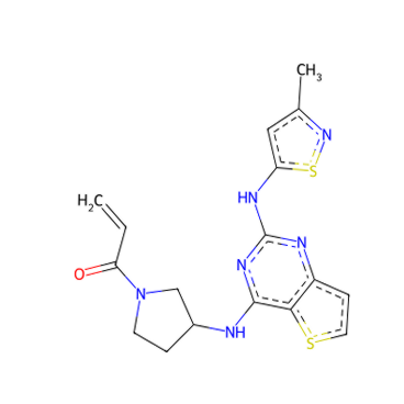 C=CC(=O)N1CCC(Nc2nc(Nc3cc(C)ns3)nc3ccsc23)C1